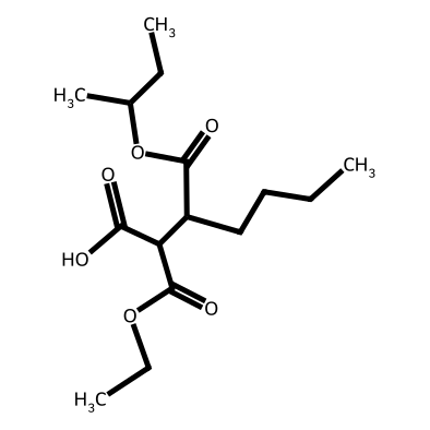 CCCCC(C(=O)OC(C)CC)C(C(=O)O)C(=O)OCC